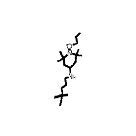 CCCON1C(C)(C)CC(NCCCC(C)(C)C)CC1(C)C